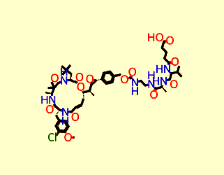 COc1ccc(C[C@H]2NC(=O)/C=C/C[C@@H]([C@H](C)[C@H]3O[C@@H]3c3ccc(COC(=O)NCCNC(=O)[C@H](C)NC(=O)[C@@H](NC(=O)CCCC(=O)O)C(C)C)cc3)OC(=O)[C@H](CC(C)(C)C)NC(=O)C(C)(C)[C@H](C)NC2=O)cc1Cl